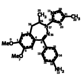 COc1cc2c(cc1OC)C(c1ccc(N)cc1)=NN(c1ncc(C)s1)C(C)C2